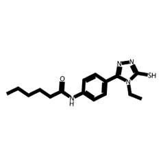 CCCCCC(=O)Nc1ccc(-c2nnc(S)n2CC)cc1